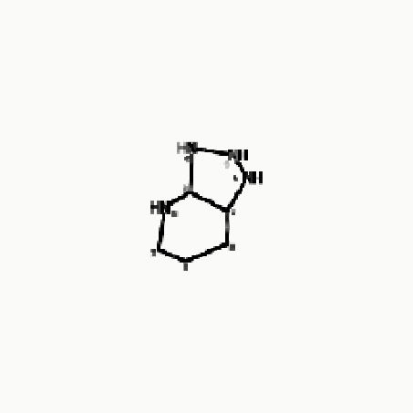 C1CNC2NNNC2C1